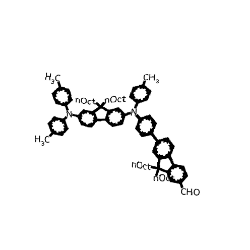 CCCCCCCCC1(CCCCCCCC)c2cc(C=O)ccc2-c2ccc(-c3ccc(N(c4ccc(C)cc4)c4ccc5c(c4)C(CCCCCCCC)(CCCCCCCC)c4cc(N(c6ccc(C)cc6)c6ccc(C)cc6)ccc4-5)cc3)cc21